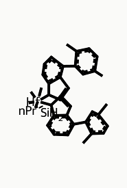 CC[CH2][Hf]([CH3])([CH3])([CH3])(=[SiH2])([CH]1C=Cc2c(-c3cc(C)ccc3C)cccc21)[CH]1C=Cc2c(-c3cc(C)ccc3C)cccc21